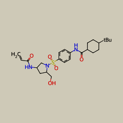 C=CC(=O)NC1CC(CO)N(S(=O)(=O)c2ccc(NC(=O)C3CCC(C(C)(C)C)CC3)cc2)C1